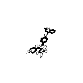 Cc1cc(COc2ccc(C(=O)NC(C3CCNCC3)C3NC(=O)NC3=O)cc2)c2ccccc2n1